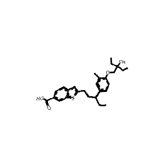 CCC(CCc1cc2ccc(C(=O)O)cc2s1)c1ccc(OCC(O)(CC)CC)c(C)c1